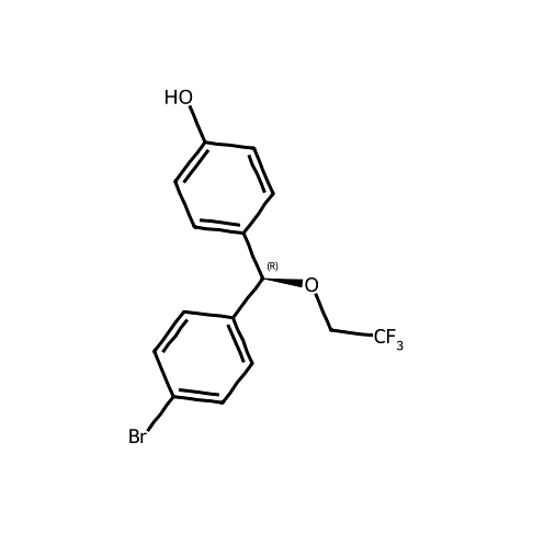 Oc1ccc([C@@H](OCC(F)(F)F)c2ccc(Br)cc2)cc1